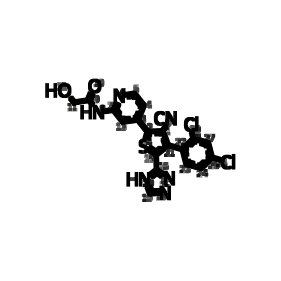 N#Cc1c(-c2ccnc(NC(=O)CO)c2)sc(-c2nnc[nH]2)c1-c1ccc(Cl)cc1Cl